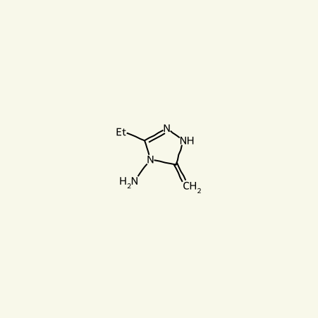 C=C1NN=C(CC)N1N